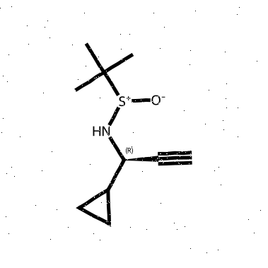 C#C[C@H](N[S+]([O-])C(C)(C)C)C1CC1